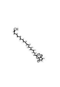 C#CCCCCCCCCCCCCCCCCCC(=O)ON1C(=O)CCC1=O